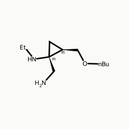 CCCCOC[C@@H]1C[C@@]1(CN)NCC